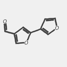 O=Cc1coc(-c2ccoc2)c1